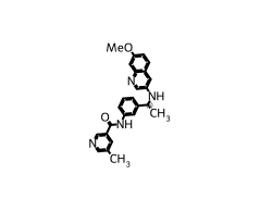 COc1ccc2cc(N[C@@H](C)c3cccc(NC(=O)c4cncc(C)c4)c3)cnc2c1